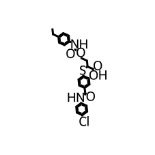 CCc1ccc(NC(=O)OCCC(Sc2ccc(C(=O)Nc3ccc(Cl)cc3)cc2)C(=O)O)cc1